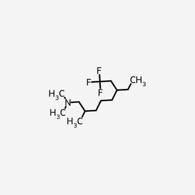 CCC(CCCC(C)CN(C)C)CC(F)(F)F